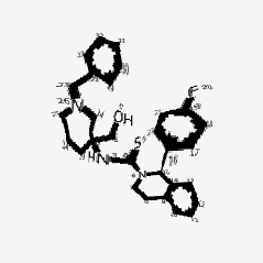 OCC1(NC(=S)N2CCc3ccccc3[C@@H]2c2ccc(F)cc2)CCCN(Cc2ccccc2)C1